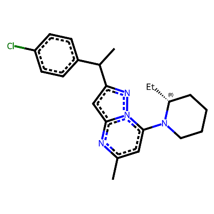 CC[C@@H]1CCCCN1c1cc(C)nc2cc(C(C)c3ccc(Cl)cc3)nn12